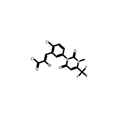 Cn1c(C(F)(F)F)cc(=O)n(-c2ccc(Cl)c(C=C(Br)C(=O)Cl)c2)c1=O